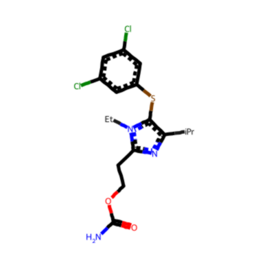 CCn1c(CCOC(N)=O)nc(C(C)C)c1Sc1cc(Cl)cc(Cl)c1